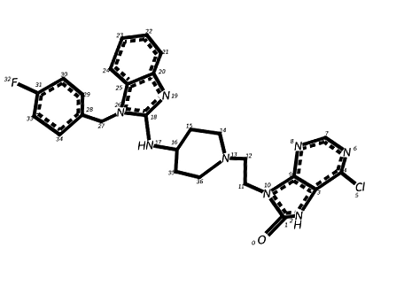 O=c1[nH]c2c(Cl)ncnc2n1CCN1CCC(Nc2nc3ccccc3n2Cc2ccc(F)cc2)CC1